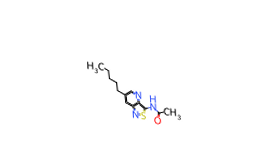 CCCCCc1cnc2c(NC(C)=O)snc2c1